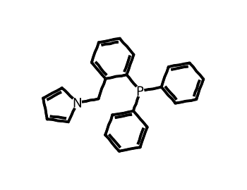 c1ccc(P(c2ccccc2)c2ccccc2Cn2cccc2)cc1